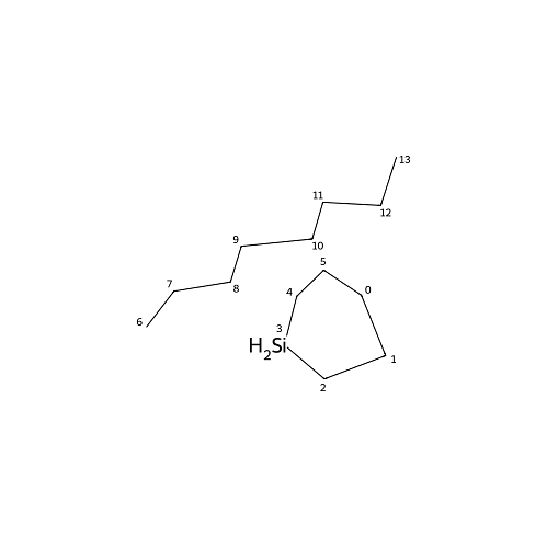 C1CC[SiH2]CC1.CCCCCCCC